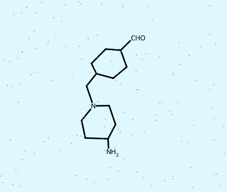 NC1CCN(CC2CCC(C=O)CC2)CC1